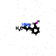 Cc1cc(-c2ccccc2CI)n[nH]1